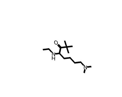 CCNC(CCCCN(C)C)C(=O)C(C)(C)C